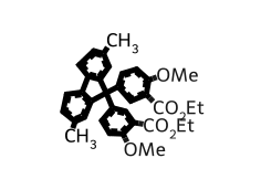 CCOC(=O)c1cc(C2(c3ccc(OC)c(C(=O)OCC)c3)c3cc(C)ccc3-c3ccc(C)cc32)ccc1OC